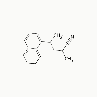 [CH2]C(CC(C)C#N)c1cccc2ccccc12